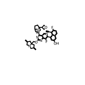 C#Cc1c(F)ccc2cc(O)cc(-c3ncc4c(N5CC6CCC(C7COC7)(C5)N6)nc(OCC56CC(=C)CN5CC(=C)C6)nc4c3F)c12